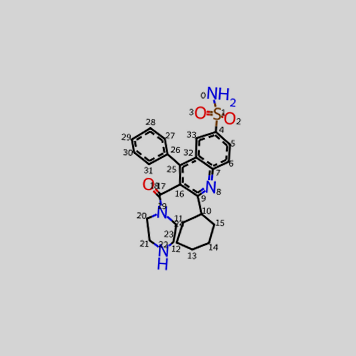 NS(=O)(=O)c1ccc2nc(C3CCCCC3)c(C(=O)N3CCNCC3)c(-c3ccccc3)c2c1